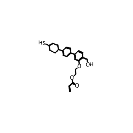 C=CC(=O)OCCOc1cc(-c2ccc(C3CCC(S)CC3)cc2)ccc1CO